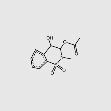 CC(=O)OC1C(O)c2ccccc2S(=O)(=O)N1C